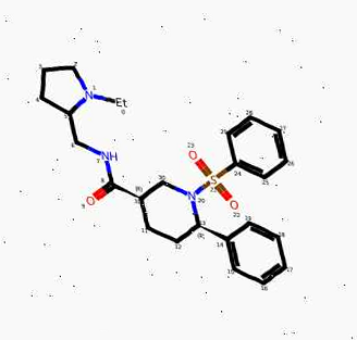 CCN1CCCC1CNC(=O)[C@@H]1CC[C@H](c2ccccc2)N(S(=O)(=O)c2ccccc2)C1